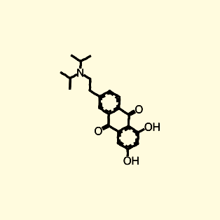 CC(C)N(CCc1ccc2c(c1)C(=O)c1cc(O)cc(O)c1C2=O)C(C)C